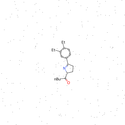 CCCCC(=O)C1CCC(c2ccc(CC)c(CC)c2)=N1